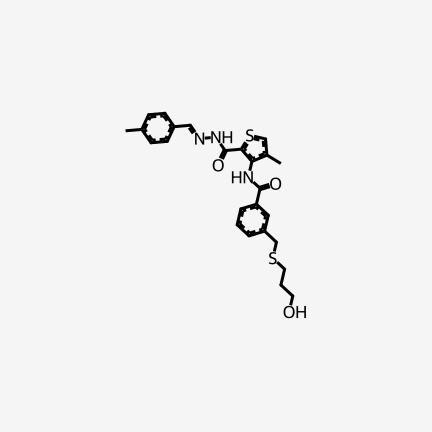 Cc1ccc(C=NNC(=O)c2scc(C)c2NC(=O)c2cccc(CSCCCO)c2)cc1